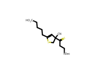 CCCCCCCCCCCCC(=S)C1(C#N)C=C(CCCCC(=O)O)SC1